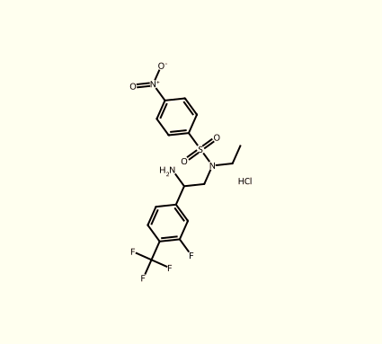 CCN(CC(N)c1ccc(C(F)(F)F)c(F)c1)S(=O)(=O)c1ccc([N+](=O)[O-])cc1.Cl